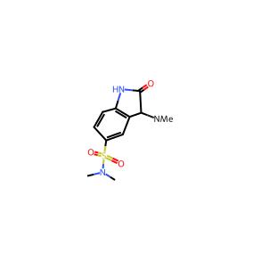 CNC1C(=O)Nc2ccc(S(=O)(=O)N(C)C)cc21